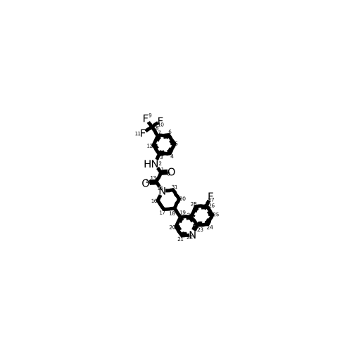 O=C(Nc1cccc(C(F)(F)F)c1)C(=O)N1CCC(c2ccnc3ccc(F)cc23)CC1